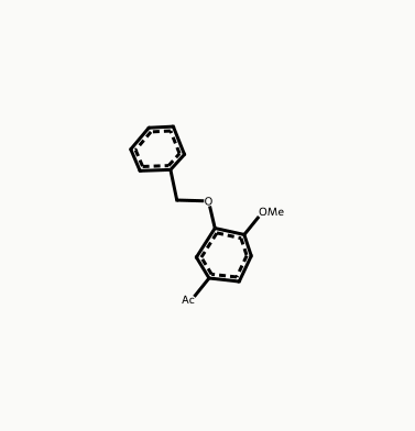 COc1ccc(C(C)=O)cc1OCc1ccccc1